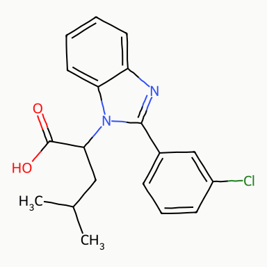 CC(C)CC(C(=O)O)n1c(-c2cccc(Cl)c2)nc2ccccc21